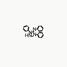 c1ccc(N=C2N(c3ccccc3)CNN2c2ccccc2)cc1